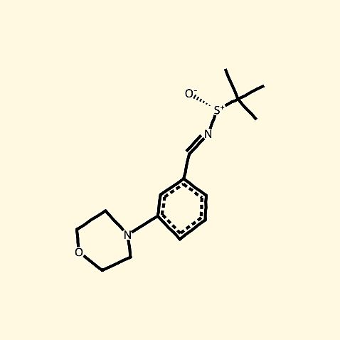 CC(C)(C)[S@@+]([O-])/N=C/c1cccc(N2CCOCC2)c1